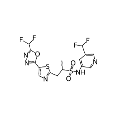 CC(Cc1ncc(-c2nnc(C(F)F)o2)s1)S(=O)(=O)Nc1cncc(C(F)F)c1